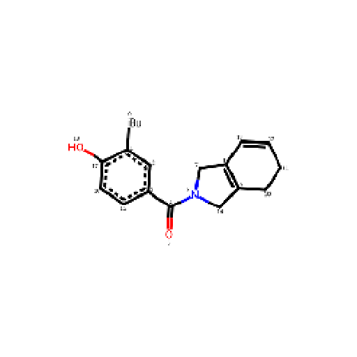 CCC(C)c1cc(C(=O)N2CC3=C(CCC=C3)C2)ccc1O